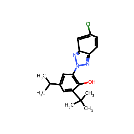 CC(C)c1cc(-n2nc3ccc(Cl)cc3n2)c(O)c(C(C)(C)C)c1